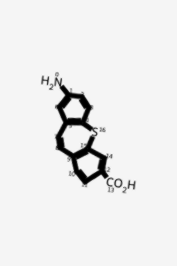 Nc1ccc2c(c1)C=Cc1ccc(C(=O)O)cc1S2